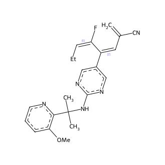 C=C(C#N)/C=C(\C(F)=C/CC)c1cnc(NC(C)(C)c2ncccc2OC)nc1